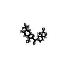 O=C1NC2(CCN(C(=O)c3sc4cc(C(F)(F)F)c(F)cc4c3Cl)C2)CO1